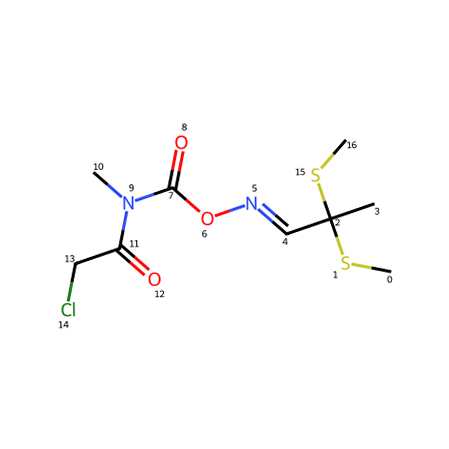 CSC(C)(C=NOC(=O)N(C)C(=O)CCl)SC